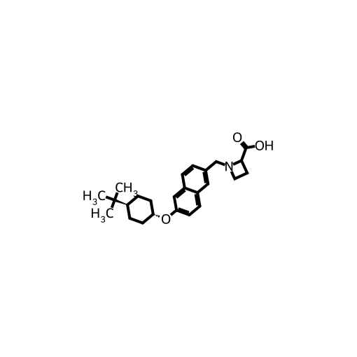 CC(C)(C)[C@H]1CC[C@H](Oc2ccc3cc(CN4CCC4C(=O)O)ccc3c2)CC1